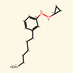 CCCCCCCCCC[CH]CCCCc1cccc(OOC2CC2)c1